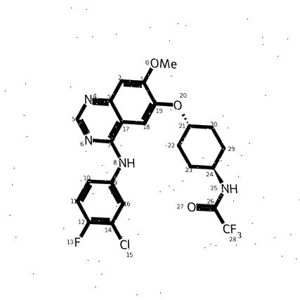 COc1cc2ncnc(Nc3ccc(F)c(Cl)c3)c2cc1O[C@H]1CC[C@H](NC(=O)C(F)(F)F)CC1